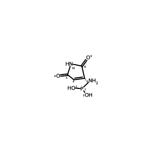 NP(O)O.O=C1C=CC(=O)N1